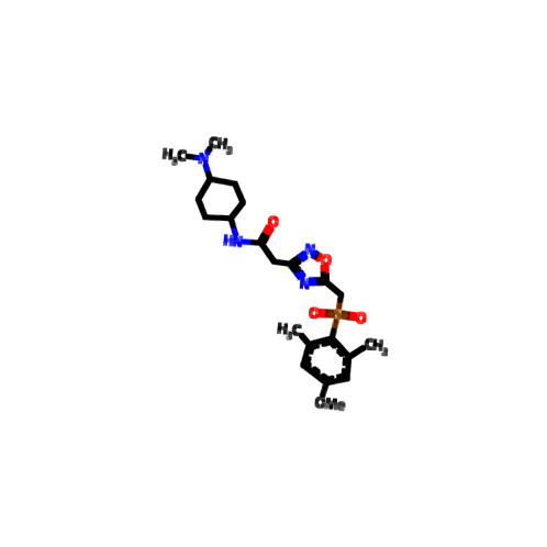 COc1cc(C)c(S(=O)(=O)Cc2nc(CC(=O)NC3CCC(N(C)C)CC3)no2)c(C)c1